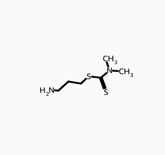 CN(C)C(=S)SCCCN